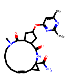 COc1nc(OC2CC3C(=O)NC4(C(N)=O)CC4C=CCCCCN(C)C(=O)C3C2)cc(C(C)(C)C)n1